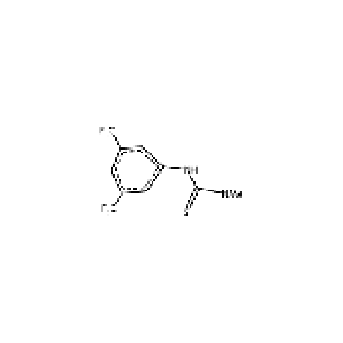 CNC(=S)Nc1cc(C(F)(F)F)cc(C(F)(F)F)c1